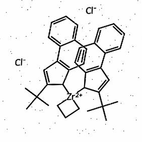 CC(C)(C)C1=Cc2c(ccc3ccccc23)[CH]1[Zr+2]1([CH]2C(C(C)(C)C)=Cc3c2ccc2ccccc32)[CH2]C[CH2]1.[Cl-].[Cl-]